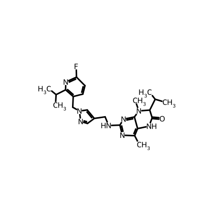 Cc1nc(NCc2cnn(Cc3ccc(F)nc3C(C)C)c2)nc2c1NC(=O)C(C(C)C)N2C